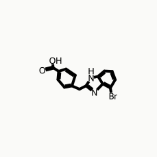 O=C(O)c1ccc(Cc2nc3c(Br)cccc3[nH]2)cc1